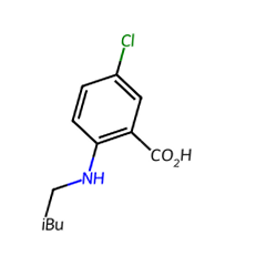 CCC(C)CNc1ccc(Cl)cc1C(=O)O